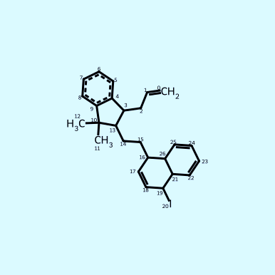 C=CCC1c2ccccc2C(C)(C)C1CCC1C=CC(I)C2C=CC=CC12